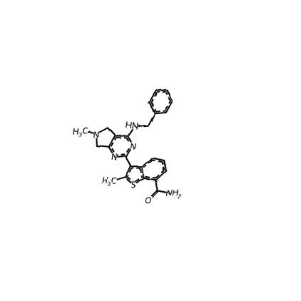 Cc1sc2c(C(N)=O)cccc2c1-c1nc2c(c(NCc3ccccc3)n1)CN(C)C2